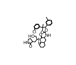 Cc1cccc(C(OC(=O)NC(CC2CCCCC2)C(=O)NC(CO)CC2CCNC2=O)C(C)(C)c2cccc(Cl)c2)c1